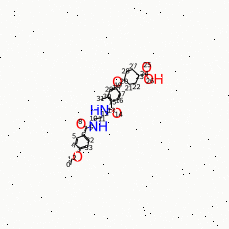 CCOc1ccc(C(=O)NCCNC(=O)c2ccc(O[C@H]3CC[C@@H](C(=O)O)CC3)cc2C)cc1